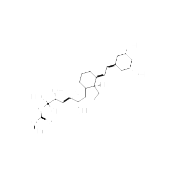 CCCOC(=O)OC(C)(C)[C@@H](O)/C=C/[C@@H](C)[C@H]1CC[C@H]2/C(=C/C=C3C[C@@H](O)C[C@H](O)C3)CCC[C@]12C